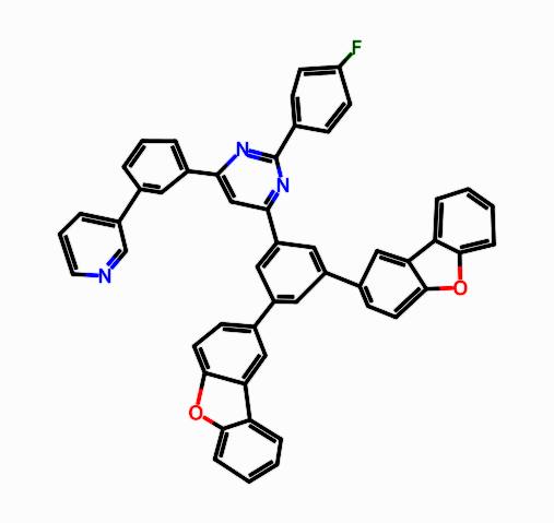 Fc1ccc(-c2nc(-c3cccc(-c4cccnc4)c3)cc(-c3cc(-c4ccc5oc6ccccc6c5c4)cc(-c4ccc5oc6ccccc6c5c4)c3)n2)cc1